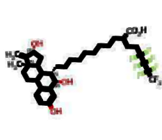 C=C1[C@H](O)CC2C3C(CC[C@]12C)c1ccc(O)cc1[C@H](O)[C@H]3CCCCCCCCCC(CCC(F)(F)C(F)(F)C(F)(F)C(F)(F)F)C(=O)O